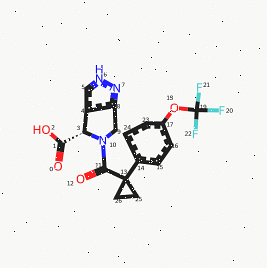 O=C(O)[C@@H]1c2c[nH]nc2CN1C(=O)C1(c2ccc(OC(F)(F)F)cc2)CC1